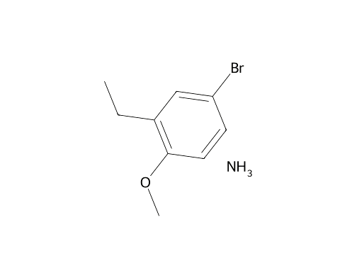 CCc1cc(Br)ccc1OC.N